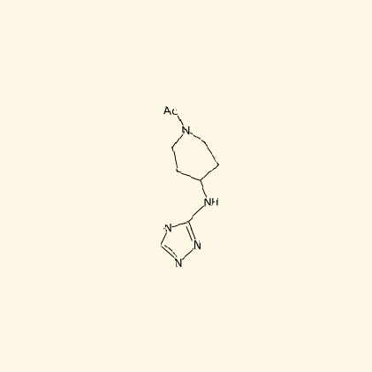 CC(=O)N1CCC(NC2=NN=C[N]2)CC1